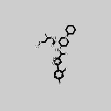 CCOC[C@@H](C)NC(=O)[C@@H]1CN(C2CCCCC2)CC[C@H]1NC(=O)c1cc(-c2ccc(F)cc2F)on1